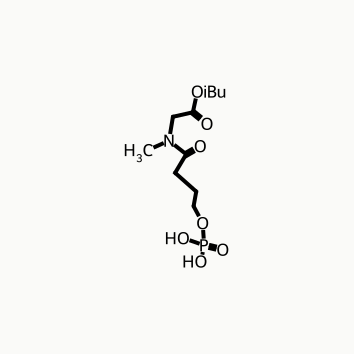 CC(C)COC(=O)CN(C)C(=O)CCCOP(=O)(O)O